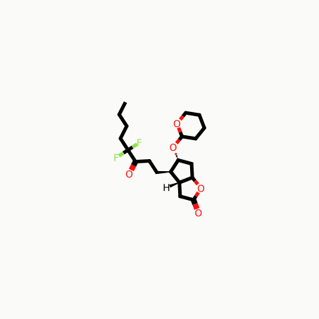 CCCCC(F)(F)C(=O)CC[C@H]1[C@H](OC2CCCCO2)CC2OC(=O)C[C@@H]21